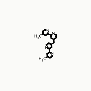 Cc1ccnc(-c2cc(Cc3ccnc(-c4cc(C)ccn4)c3)ccn2)c1